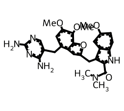 COc1ccc2[nH]c(C(=O)N(C)C)c(Cc3cc4c(Cc5cnc(N)nc5N)cc(OC)c(OC)c4o3)c2c1